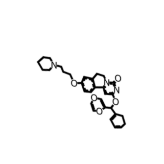 O=c1nc(OC(C2=CC=CCC2)C2=COC=CO2)cc2n1CCc1cc(OCCCN3CCCCC3)ccc1-2